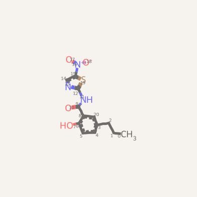 CCCc1ccc(O)c(C(=O)Nc2ncc([N+](=O)[O-])s2)c1